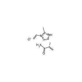 C=C(C)C(N)=O.C=C[n+]1cc[nH]c1C.[Cl-]